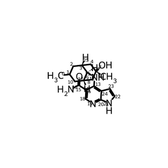 CC1C[C@@H]2C[C@](C)(O)C[C@H](C1)[C@@H]2Nc1c(C(N)=O)cnc2[nH]ccc12